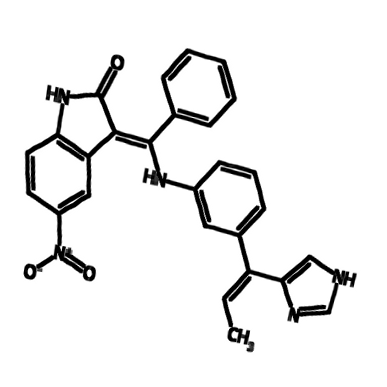 CC=C(c1cccc(NC(=C2C(=O)Nc3ccc([N+](=O)[O-])cc32)c2ccccc2)c1)c1c[nH]cn1